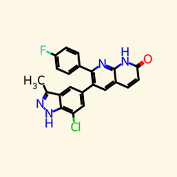 Cc1n[nH]c2c(Cl)cc(-c3cc4ccc(=O)[nH]c4nc3-c3ccc(F)cc3)cc12